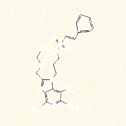 CCOCc1nc2c(N)nc(C)c(C)c2n1CCCNS(=O)(=O)/C=C/c1ccccc1